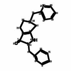 O=c1c2c([nH]n1Cc1ccccc1)CN(Cc1ccccn1)CC2